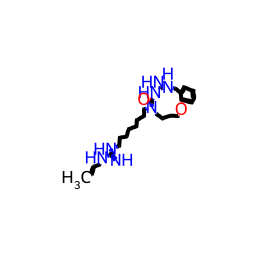 C/C=C/CNC(=N)NCCCCCCCCN1CCCCOc2ccccc2CNC(=N)NC1=O